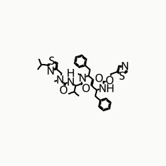 CC(C)c1nc(CN(C)C(=O)NC(C(=O)N(C)C(/C=C/C(Cc2ccccc2)NC(=O)OCc2cncs2)Cc2ccccc2)C(C)C)cs1